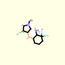 CC(C)N1C[C@H](O[C@H]2CCCC(F)(F)C2N)[C@@H](F)C1